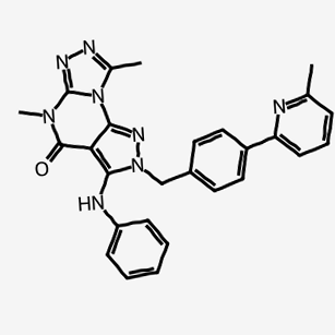 Cc1cccc(-c2ccc(Cn3nc4c(c3Nc3ccccc3)c(=O)n(C)c3nnc(C)n43)cc2)n1